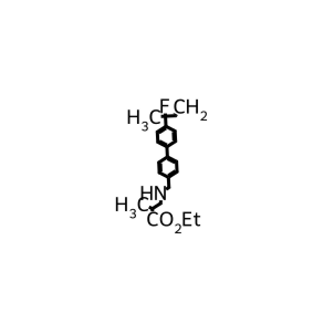 C=CC(C)(F)c1ccc(-c2ccc(CNCC(C)C(=O)OCC)cc2)cc1